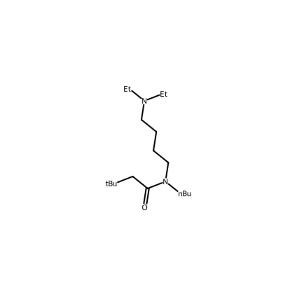 CCCCN(CCCCN(CC)CC)C(=O)CC(C)(C)C